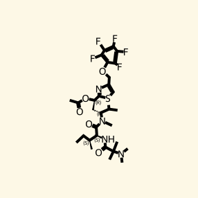 CC[C@H](C)[C@H](NC(=O)C(C)(C)N(C)C)C(=O)N(C)[C@H](C[C@@H](OC(C)=O)c1nc(COc2c(F)c(F)c(F)c(F)c2F)cs1)C(C)C